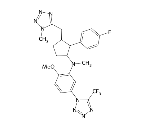 COc1ccc(-n2nnnc2C(F)(F)F)cc1N(C)C1CCC(Cc2nnnn2C)C1c1ccc(F)cc1